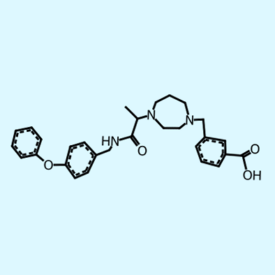 CC(C(=O)NCc1ccc(Oc2ccccc2)cc1)N1CCCN(Cc2cccc(C(=O)O)c2)CC1